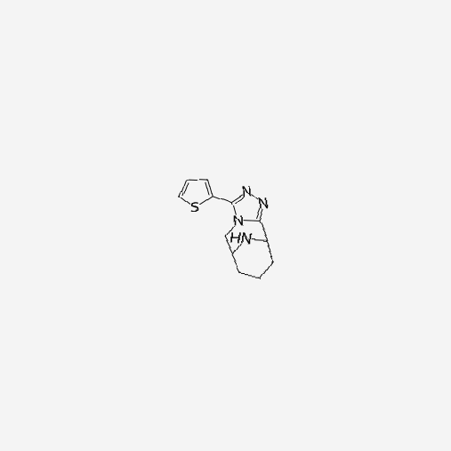 c1csc(-c2nnc3n2CC2CCCC3N2)c1